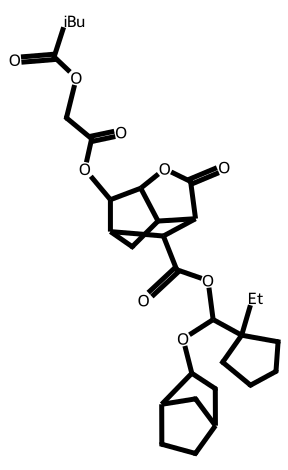 CCC(C)C(=O)OCC(=O)OC1C2CC3C1OC(=O)C3C2C(=O)OC(OC1CC2CCC1C2)C1(CC)CCCC1